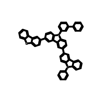 c1ccc(-c2cccc(-n3c4ccc(-c5ccc6oc7ccccc7c6c5)cc4c4cc(-c5ccc6c(c5)c5ccccc5n6-c5ccccc5)ccc43)c2)cc1